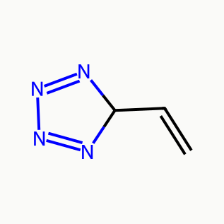 C=CC1N=NN=N1